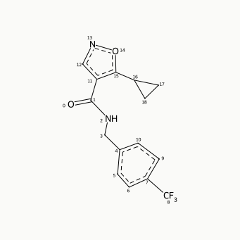 O=C(NCc1ccc(C(F)(F)F)cc1)c1cnoc1C1CC1